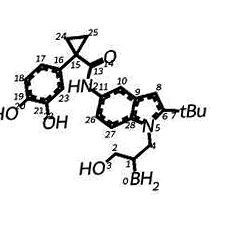 BC(CO)Cn1c(C(C)(C)C)cc2cc(NC(=O)C3(c4ccc(O)c(O)c4)CC3)ccc21